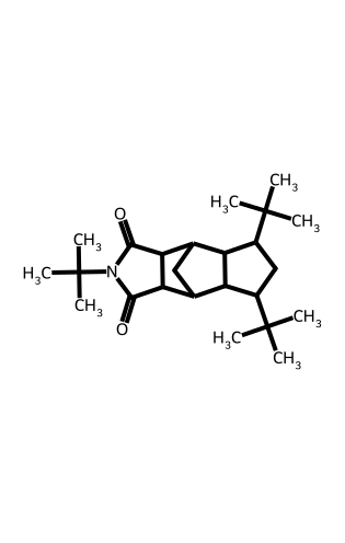 CC(C)(C)C1CC(C(C)(C)C)C2C3CC(C4C(=O)N(C(C)(C)C)C(=O)C34)C21